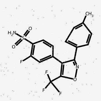 Cc1ccc(-c2noc(C(F)(F)F)c2-c2ccc(S(N)(=O)=O)c(F)c2)cc1